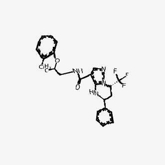 CC(CNC(=O)c1cnn2c1NC(c1ccccc1)C[C@H]2C(F)(F)F)Oc1ccccc1Cl